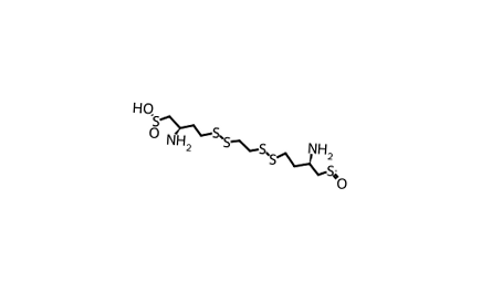 N[C@H](CCSSCCSSCC[C@@H](N)CS(=O)O)C[S]=O